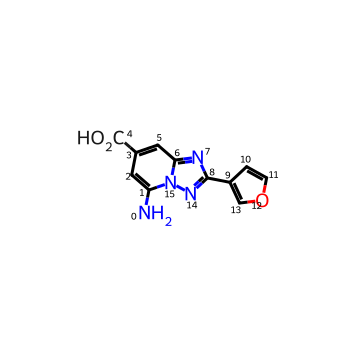 Nc1cc(C(=O)O)cc2nc(-c3ccoc3)nn12